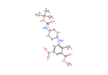 COC(=O)c1cc([N+](=O)[O-])cc(NC2CCC(NC(=O)OC(C)(C)C)CC2)c1C